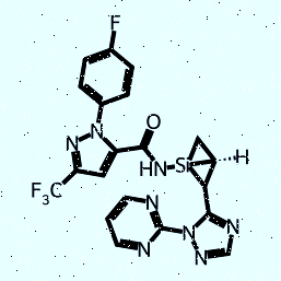 O=C(N[Si]12C[C@H]1C2c1ncnn1-c1ncccn1)c1cc(C(F)(F)F)nn1-c1ccc(F)cc1